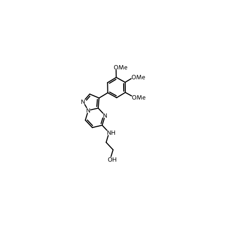 COc1cc(-c2cnn3ccc(NCCO)nc23)cc(OC)c1OC